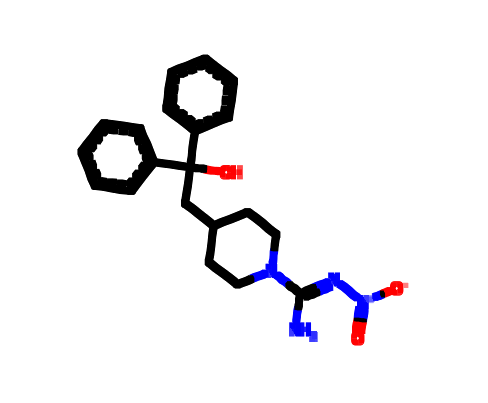 NC(=N[N+](=O)[O-])N1CCC(CC(O)(c2ccccc2)c2ccccc2)CC1